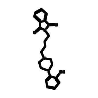 O=C1c2ccccc2C(=O)N1CCCCN1CCN(c2ccccc2O)CC1